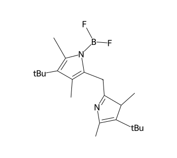 CC1=C(C(C)(C)C)C(C)C(Cc2c(C)c(C(C)(C)C)c(C)n2B(F)F)=N1